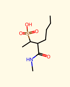 CCCCC(C(=O)NC)C(C)S(=O)(=O)O